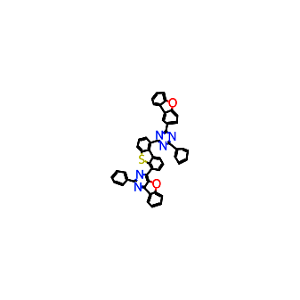 c1ccc(-c2nc(-c3ccc4oc5ccccc5c4c3)nc(-c3cccc4sc5c(-c6nc(-c7ccccc7)nc7c6oc6ccccc67)cccc5c34)n2)cc1